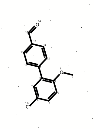 COc1ccc(Cl)cc1-c1ccc(C=O)cc1